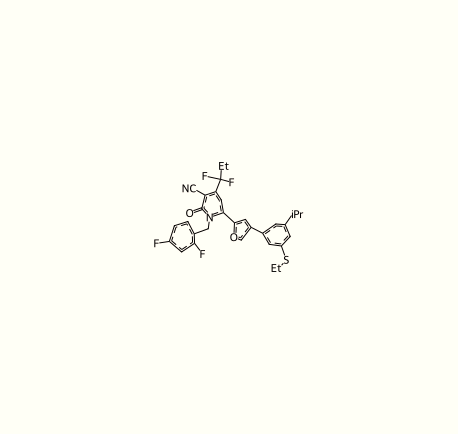 CCSc1cc(-c2coc(-c3cc(C(F)(F)CC)c(C#N)c(=O)n3Cc3ccc(F)cc3F)c2)cc(C(C)C)c1